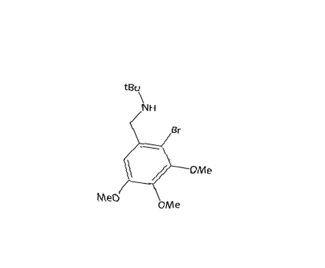 COc1cc(CNC(C)(C)C)c(Br)c(OC)c1OC